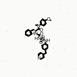 COc1ccc(N(C)C(=O)[C@H](Cc2ccccc2)NC(=O)NS(=O)(=O)Nc2ccc(Cc3ccncc3)cc2)cc1